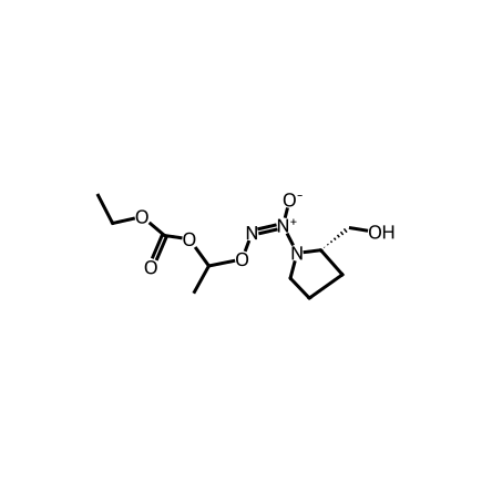 CCOC(=O)OC(C)O/N=[N+](/[O-])N1CCC[C@H]1CO